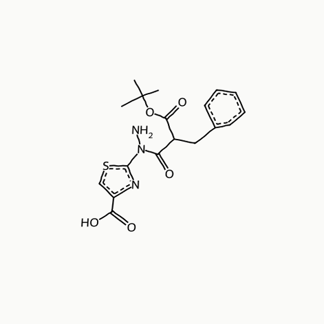 CC(C)(C)OC(=O)C(Cc1ccccc1)C(=O)N(N)c1nc(C(=O)O)cs1